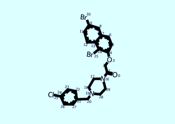 O=C(COc1ccc2cc(Br)ccc2c1Br)N1CCN(Cc2ccc(Cl)cc2)CC1